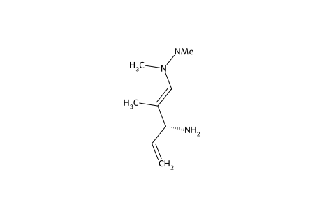 C=C[C@@H](N)/C(C)=C/N(C)NC